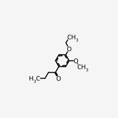 CCCC(=O)c1ccc(OCC)c(OC)c1